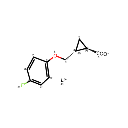 O=C([O-])[C@@H]1C[C@H]1COc1ccc(F)cc1.[Li+]